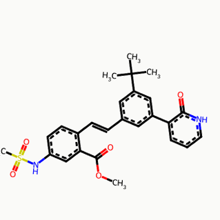 COC(=O)c1cc(NS(C)(=O)=O)ccc1C=Cc1cc(-c2ccc[nH]c2=O)cc(C(C)(C)C)c1